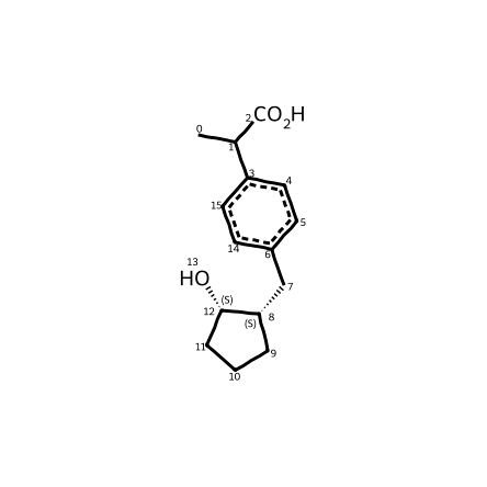 CC(C(=O)O)c1ccc(C[C@@H]2CCC[C@@H]2O)cc1